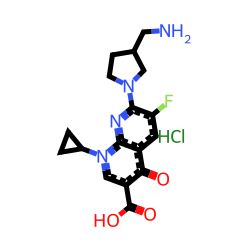 Cl.NCC1CCN(c2nc3c(cc2F)c(=O)c(C(=O)O)cn3C2CC2)C1